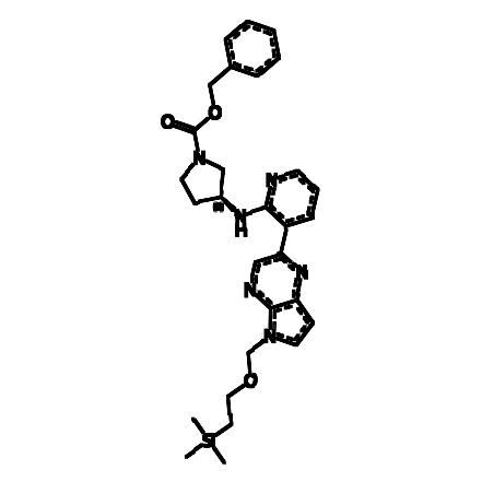 C[Si](C)(C)CCOCn1ccc2nc(-c3cccnc3N[C@H]3CCN(C(=O)OCc4ccccc4)C3)cnc21